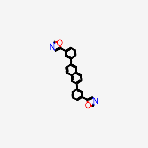 c1cc(-c2ccc3cc(-c4cccc(-c5cnco5)c4)ccc3c2)cc(-c2cnco2)c1